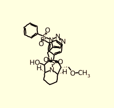 COC[C@H]1CN(Cc2cnnn2S(=O)(=O)c2ccccc2)C(O)[C@@H]2CCC[C@H]1N2S(=O)(=O)c1cccc(F)c1